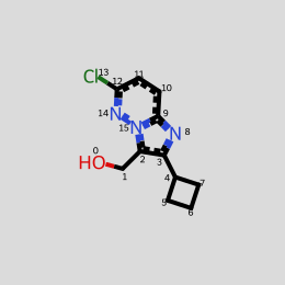 OCc1c(C2CCC2)nc2ccc(Cl)nn12